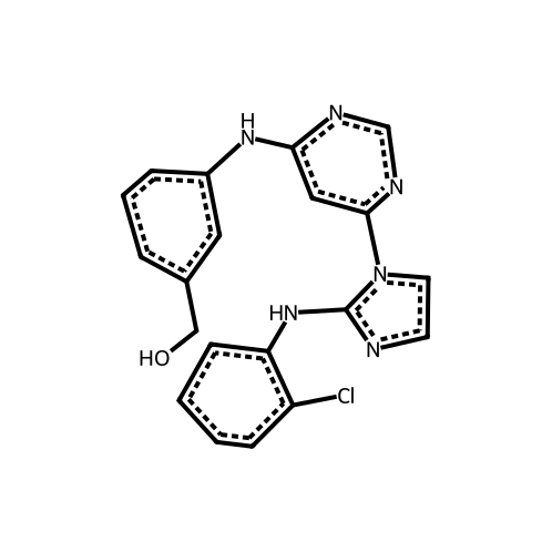 OCc1cccc(Nc2cc(-n3ccnc3Nc3ccccc3Cl)ncn2)c1